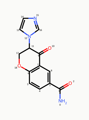 NC(=O)c1ccc2c(c1)C(=O)C(n1ccnc1)CO2